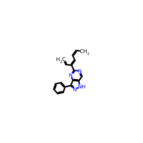 C=C/C(=C\C=C/C)c1ncc2[nH]nc(-c3ccccc3)c2n1